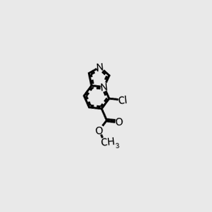 COC(=O)c1ccc2cncn2c1Cl